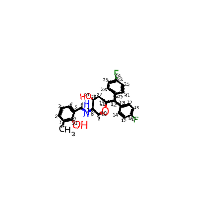 Cc1cccc(CNC2COC(C(c3ccc(F)cc3)c3ccc(F)cc3)CC2O)c1O